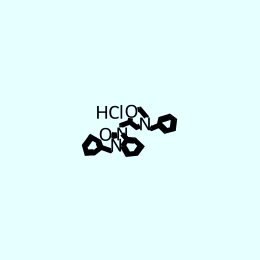 Cl.O=c1n(Cc2ccccc2)c2ccccc2n1CC1CN(Cc2ccccc2)CCO1